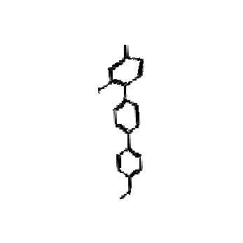 CCc1ccc(-c2ccc(-c3ccc(C)cc3F)cc2)cc1